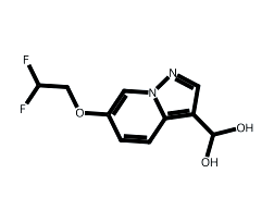 OC(O)c1cnn2cc(OCC(F)F)ccc12